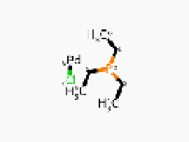 CCP(CC)CC.[Cl][Pd]